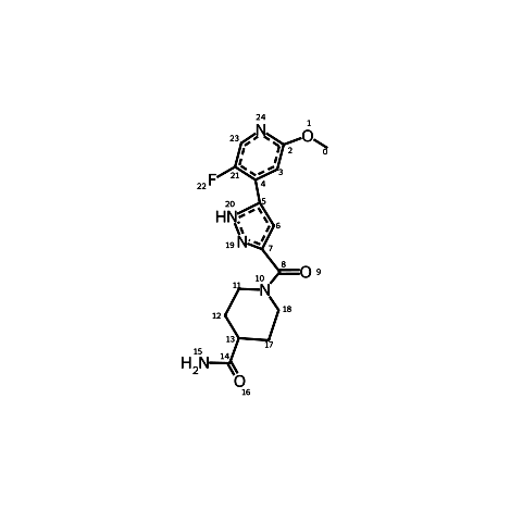 COc1cc(-c2cc(C(=O)N3CCC(C(N)=O)CC3)n[nH]2)c(F)cn1